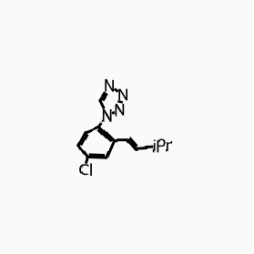 CC(C)/C=C/c1cc(Cl)ccc1-n1cnnn1